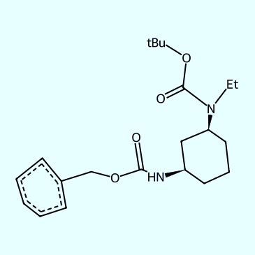 CCN(C(=O)OC(C)(C)C)[C@H]1CCC[C@@H](NC(=O)OCc2ccccc2)C1